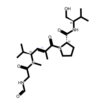 C/C(=C\[C@H](C(C)C)N(C)C(=O)CNC=O)C(=O)N1CCC[C@H]1C(=O)N[C@@H](CO)C(C)C